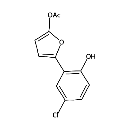 CC(=O)Oc1ccc(-c2cc(Cl)ccc2O)o1